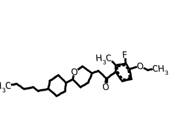 CCCCCC1CCC(C2CCC(CC(=O)c3ccc(OCC)c(F)c3C)CO2)CC1